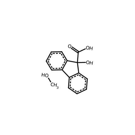 CO.O=C(O)C1(O)c2ccccc2-c2ccccc21